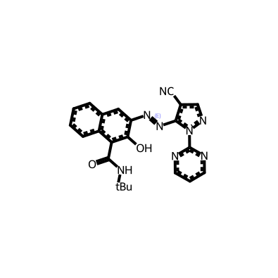 CC(C)(C)NC(=O)c1c(O)c(/N=N/c2c(C#N)cnn2-c2ncccn2)cc2ccccc12